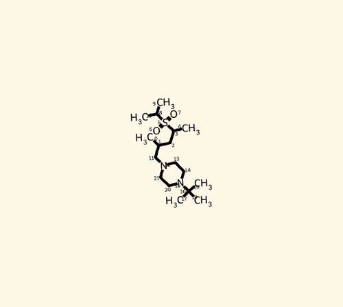 CC(CC(C)S(=O)(=O)C(C)C)CN1CCN(C(C)(C)C)CC1